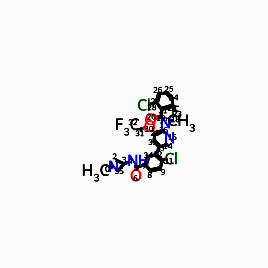 CN1CC(NC(=O)c2ccc(Cl)c(-c3cnc(N(C)C(=O)c4c(F)cccc4Cl)c(OCC(F)(F)F)c3)c2)C1